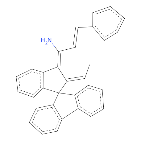 C\C=C1/C(=C(N)\C=C\c2ccccc2)c2ccccc2C12c1ccccc1-c1ccccc12